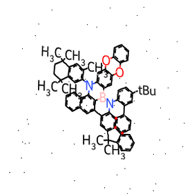 Cc1cc2c(cc1N1c3cc4c(cc3B3c5c(cc6ccccc6c51)-c1cc5c(cc1N3c1ccc(C(C)(C)C)cc1-c1ccccc1)-c1ccccc1C5(C)C)Oc1ccccc1O4)C(C)(C)CCC2(C)C